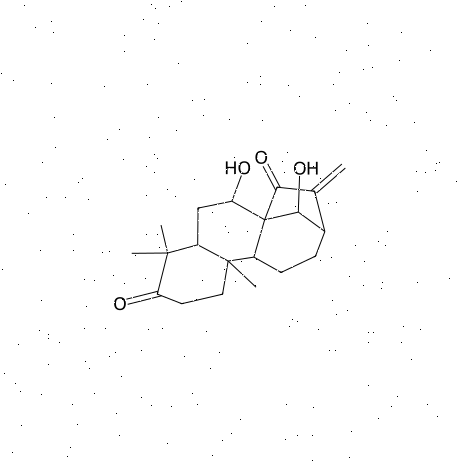 C=C1C(=O)C23C(O)CC4C(C)(C)C(=O)CCC4(C)C2CCC1C3O